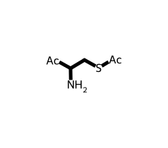 CC(=O)SCC(N)C(C)=O